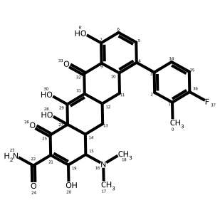 Cc1cc(-c2ccc(O)c3c2CC2CC4C(N(C)C)C(O)=C(C(N)=O)C(=O)C4(O)C(O)=C2C3=O)ccc1F